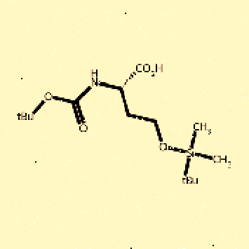 CC(C)(C)OC(=O)N[C@@H](CCO[Si](C)(C)C(C)(C)C)C(=O)O